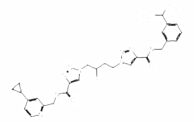 CC(C)c1cccc(CNC(=O)c2cn(CCC(F)Cn3cc(C(=O)NCc4cc(C5CC5)ccn4)nn3)nn2)c1